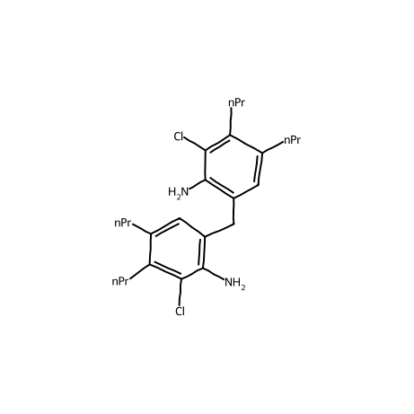 CCCc1cc(Cc2cc(CCC)c(CCC)c(Cl)c2N)c(N)c(Cl)c1CCC